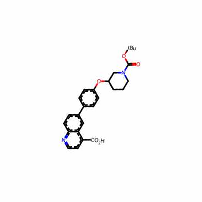 CC(C)(C)OC(=O)N1CCCC(Oc2ccc(-c3ccc4nccc(C(=O)O)c4c3)cc2)C1